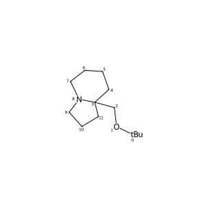 CC(C)(C)OCC12CCCCN1CCC2